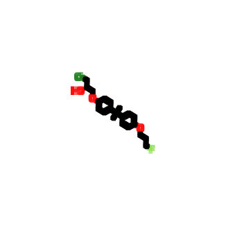 CC(C)(c1ccc(OCCCF)cc1)c1ccc(OC[C@H](O)CCl)cc1